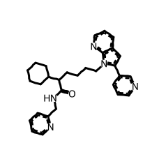 O=C(NCc1ccccn1)C(CCCCn1c(-c2cccnc2)cc2cccnc21)C1CCCCC1